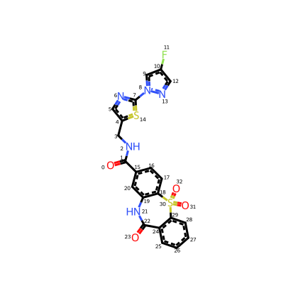 O=C(NCc1cnc(-n2cc(F)cn2)s1)c1ccc2c(c1)NC(=O)c1ccccc1S2(=O)=O